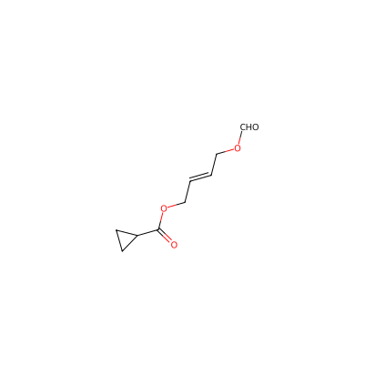 O=COCC=CCOC(=O)C1CC1